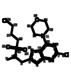 CN(Cc1cc2nc(Cl)nc(N3CCOCC3)c2s1)S(=O)(=O)CCCCl